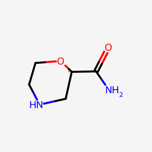 NC(=O)[C]1CNCCO1